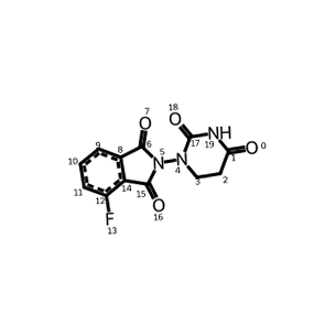 O=C1CCN(N2C(=O)c3cccc(F)c3C2=O)C(=O)N1